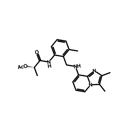 CC(=O)O[C@@H](C)C(=O)Nc1cccc(C)c1CNc1cccn2c(C)c(C)nc12